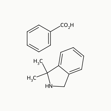 CC1(C)NCc2ccccc21.O=C(O)c1ccccc1